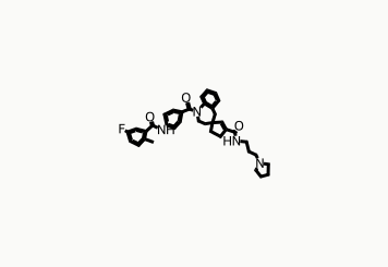 Cc1ccc(F)cc1C(=O)Nc1ccc(C(=O)N2CCC3(C=C(C(=O)NCCCN4CCCC4)CC3)Cc3ccccc32)cc1